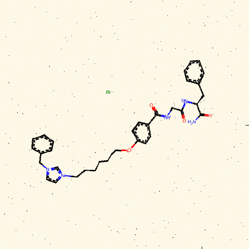 NC(=O)[C@H](Cc1ccccc1)NC(=O)CNC(=O)c1ccc(OCCCCCCn2cc[n+](Cc3ccccc3)c2)cc1.[Br-]